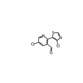 O=Cc1cc(Cl)cnc1-c1scnc1Cl